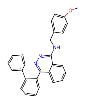 COc1ccc(CNc2nnc(-c3ccccc3-c3ccccc3)c3ccccc23)cc1